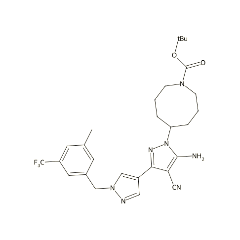 Cc1cc(Cn2cc(-c3nn(C4CCCN(C(=O)OC(C)(C)C)CCC4)c(N)c3C#N)cn2)cc(C(F)(F)F)c1